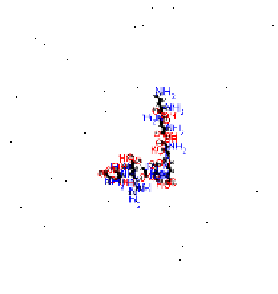 CC(N)C(=O)O.CC(O)C(N)C(=O)O.N=C(N)NCCCC(N)C(=O)O.NC(=O)CC(N)C(=O)O.NC(CO)C(=O)O.NC(Cc1c[nH]cn1)C(=O)O.NCC(=O)O.NCCCC(N)C(=O)O.O=C(O)[C@@H]1CCCN1